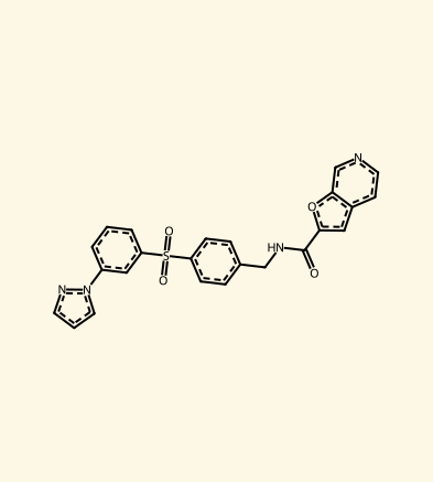 O=C(NCc1ccc(S(=O)(=O)c2cccc(-n3cccn3)c2)cc1)c1cc2ccncc2o1